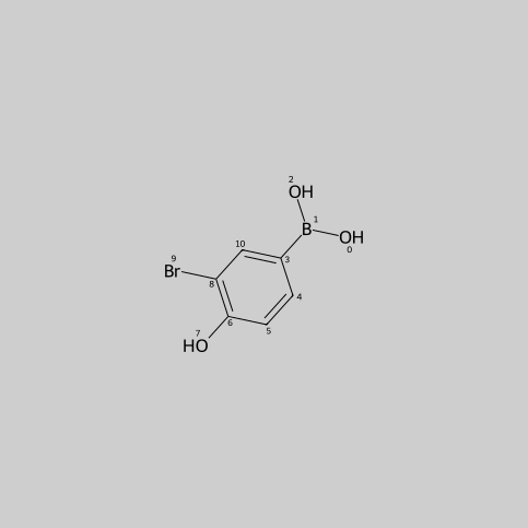 OB(O)c1ccc(O)c(Br)c1